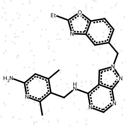 CCc1nc2cc(Cn3cc4c(NCc5c(C)cc(N)nc5C)ncnc4n3)ccc2o1